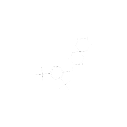 CC(C)(C)c1ccc(OP2OCC3(COPOC3)CO2)c(C(C)(C)C)c1